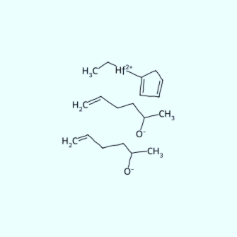 C=CCCC(C)[O-].C=CCCC(C)[O-].C[CH2][Hf+2][C]1=CC=CC1